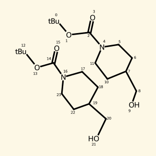 CC(C)(C)OC(=O)N1CCC(CO)CC1.CC(C)(C)OC(=O)N1CCC(CO)CC1